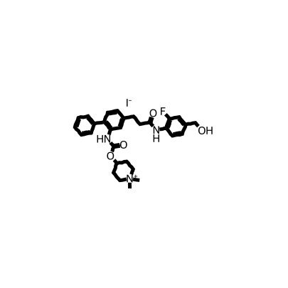 C[N+]1(C)CCC(OC(=O)Nc2cc(CCC(=O)Nc3ccc(CO)cc3F)ccc2-c2ccccc2)CC1.[I-]